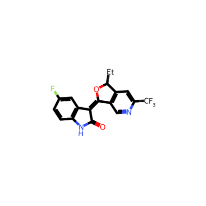 CCC1O/C(=C2/C(=O)Nc3ccc(F)cc32)c2cnc(C(F)(F)F)cc21